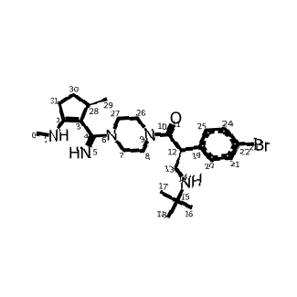 CNC1=C(C(=N)N2CCN(C(=O)[C@H](CNC(C)(C)C)c3ccc(Br)cc3)CC2)[C@H](C)CC1